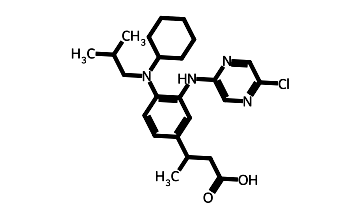 CC(C)CN(c1ccc(C(C)CC(=O)O)cc1Nc1cnc(Cl)cn1)C1CCCCC1